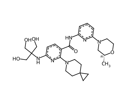 C[C@@H]1CN(c2cccc(NC(=O)c3ccc(NC(CO)(CO)CO)nc3N3CCC4(CC3)CC4)n2)CCO1